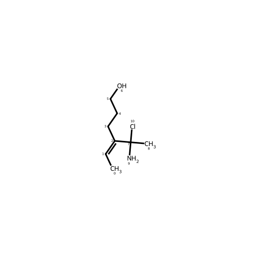 CC=C(CCCO)C(C)(N)Cl